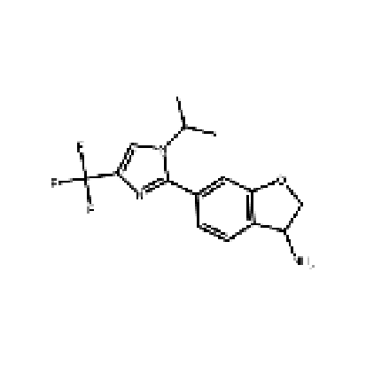 CC(C)n1cc(C(F)(F)F)nc1-c1ccc2c(c1)OCC2N